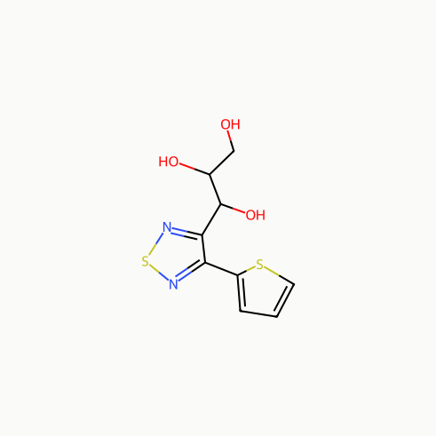 OCC(O)C(O)c1nsnc1-c1cccs1